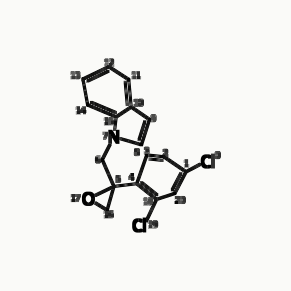 Clc1ccc(C2(Cn3ccc4ccccc43)CO2)c(Cl)c1